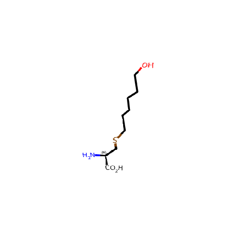 N[C@@H](CSCCCCCCO)C(=O)O